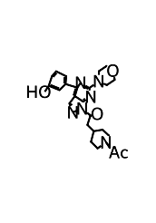 CC(=O)N1CCC(CC(=O)n2ncc3c(-c4cccc(O)c4)nc(N4CCOCC4)nc32)CC1